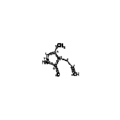 C#CCn1c(C)c[nH]c1=O